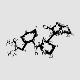 CN(C)Cc1ccccc1Nc1nccc(-c2c(Cl)nc3sccn23)n1